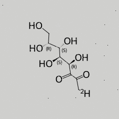 [2H]CC(=O)C(=O)[C@H](O)[C@@H](O)[C@@H](O)[C@H](O)CO